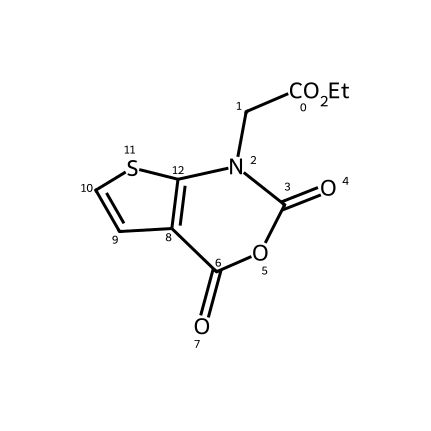 CCOC(=O)Cn1c(=O)oc(=O)c2ccsc21